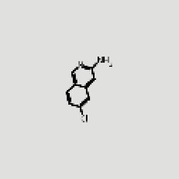 Nc1cc2cc(Cl)ccc2cn1